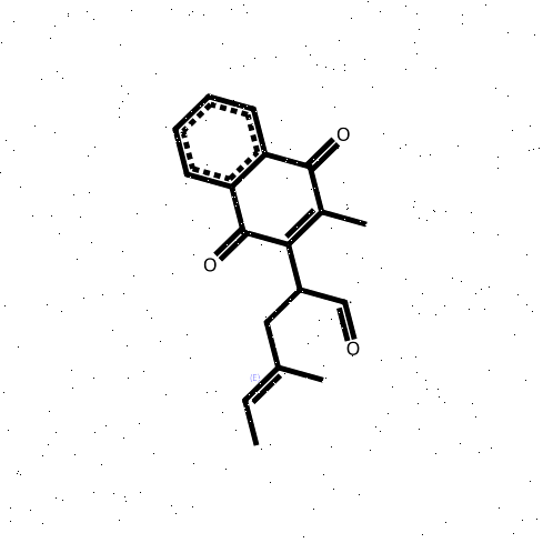 C/C=C(\C)CC([C]=O)C1=C(C)C(=O)c2ccccc2C1=O